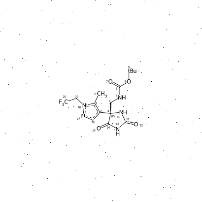 Cc1c([C@]2(CNC(=O)OC(C)(C)C)NC(=O)NC2=O)cnn1CC(F)(F)F